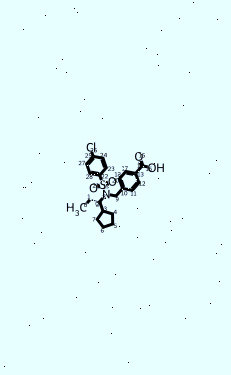 CC[C@@H](C1CCCC1)N(Cc1ccc(C(=O)O)cc1)S(=O)(=O)c1ccc(Cl)cc1